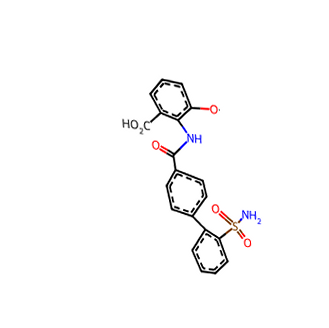 NS(=O)(=O)c1ccccc1-c1ccc(C(=O)Nc2c([O])cccc2C(=O)O)cc1